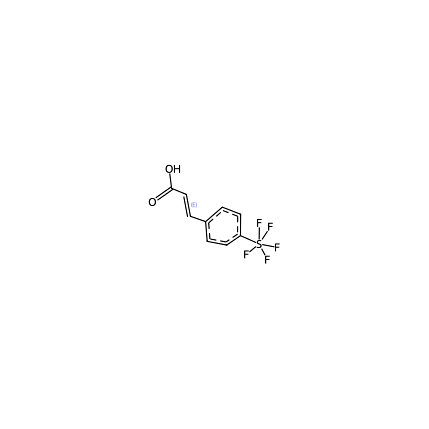 O=C(O)/C=C/c1ccc(S(F)(F)(F)(F)F)cc1